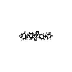 O=C(C1=CCN(c2ccccn2)CC1)N(Cl)c1ccc(N2CCOCC2)cc1